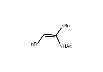 CCCC=C(CCCC)NC(C)=O